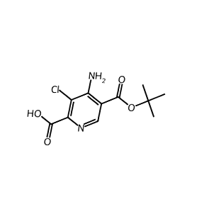 CC(C)(C)OC(=O)c1cnc(C(=O)O)c(Cl)c1N